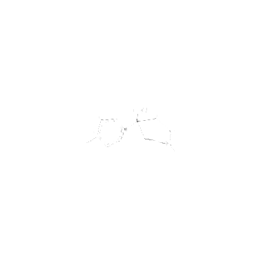 O=CN1CCC(O)(c2ccc(F)cc2)C1